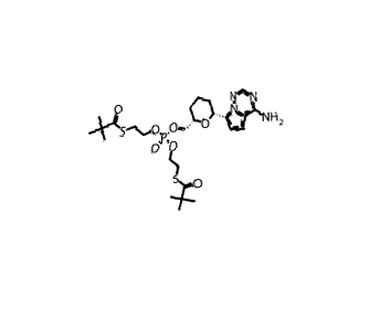 CC(C)(C)C(=O)SCCOP(=O)(OCCSC(=O)C(C)(C)C)OC[C@@H]1CCC[C@H](c2ccc3c(N)ncnn23)O1